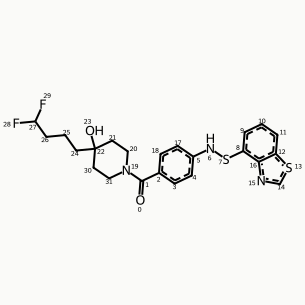 O=C(c1ccc(NSc2cccc3scnc23)cc1)N1CCC(O)(CCCC(F)F)CC1